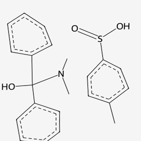 CN(C)C(O)(c1ccccc1)c1ccccc1.Cc1ccc(S(=O)O)cc1